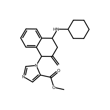 C=C1CC(NC2CCCCC2)c2ccccc2C1n1cncc1C(=O)OC